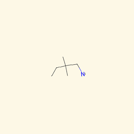 CCC(C)(C)C[N]